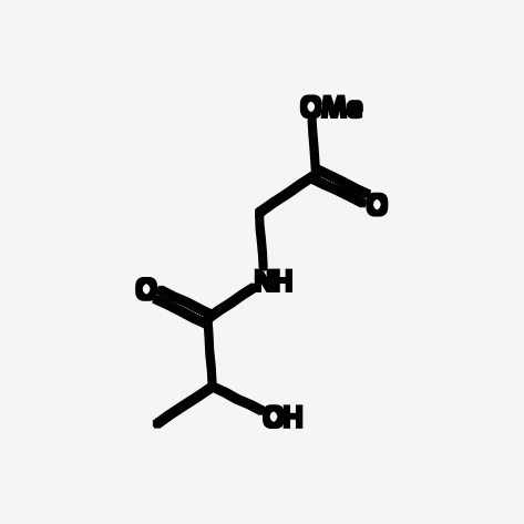 COC(=O)CNC(=O)C(C)O